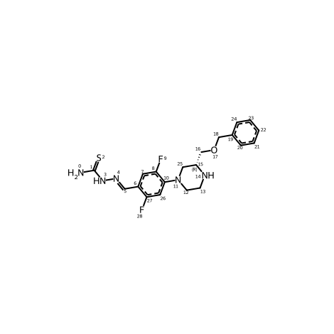 NC(=S)NN=Cc1cc(F)c(N2CCN[C@@H](COCc3ccccc3)C2)cc1F